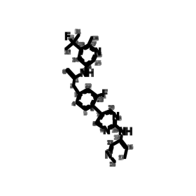 C=C(Cc1ccc(-c2cnc(NC(/C=N\C)=C/C)nc2)c(F)c1)Nc1cnc(C)c(C(C)(C)F)c1